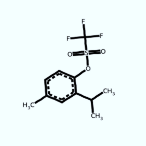 Cc1ccc(OS(=O)(=O)C(F)(F)F)c(C(C)C)c1